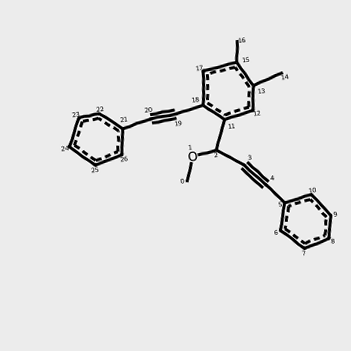 COC(C#Cc1ccccc1)c1cc(C)c(C)cc1C#Cc1ccccc1